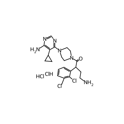 Cl.Cl.NCCC(C(=O)N1CCN(c2ncnc(N)c2C2CC2)CC1)c1cccc(Cl)c1Cl